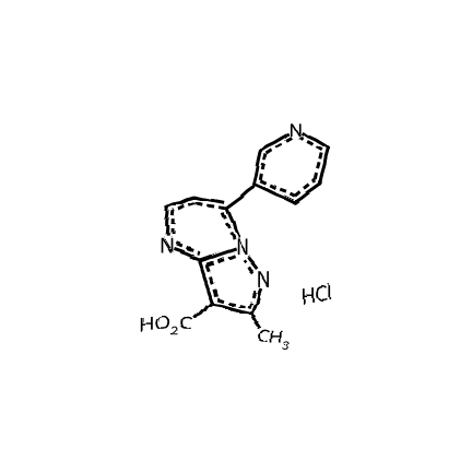 Cc1nn2c(-c3cccnc3)ccnc2c1C(=O)O.Cl